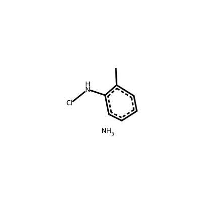 Cc1ccccc1NCl.N